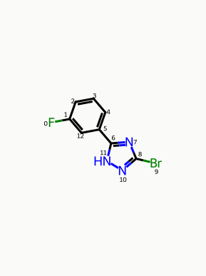 Fc1cccc(-c2nc(Br)n[nH]2)c1